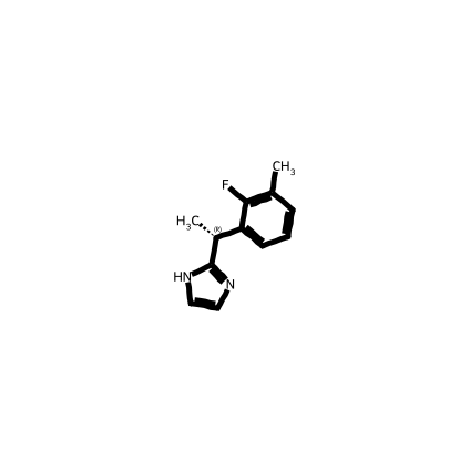 Cc1cccc([C@@H](C)c2ncc[nH]2)c1F